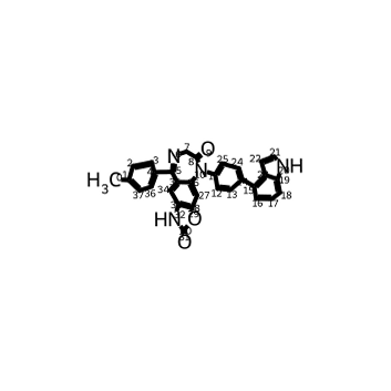 Cc1ccc(C2=NCC(=O)N(c3ccc(-c4cccc5[nH]ccc45)cc3)c3cc4oc(=O)[nH]c4cc32)cc1